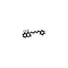 Cc1cccc(Cl)c1C(=O)[PH](=O)CCCCCc1ccccc1